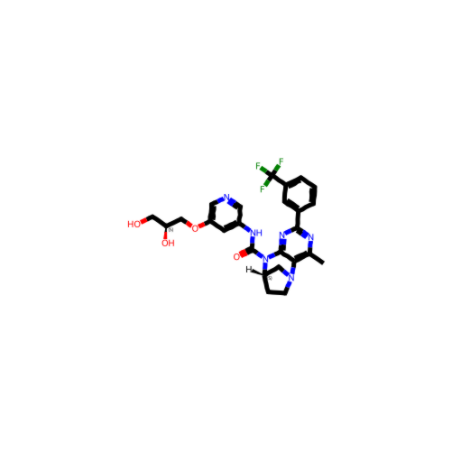 Cc1nc(-c2cccc(C(F)(F)F)c2)nc2c1N1CC[C@@H](C1)N2C(=O)Nc1cncc(OC[C@@H](O)CO)c1